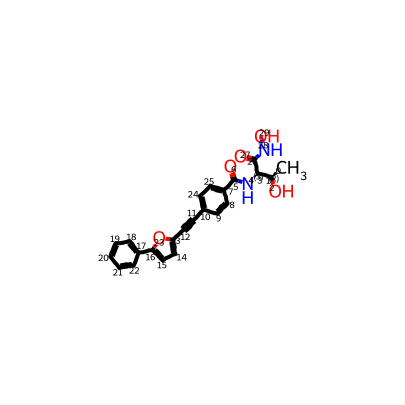 C[C@@H](O)[C@H](NC(=O)c1ccc(C#Cc2ccc(-c3ccccc3)o2)cc1)C(=O)NO